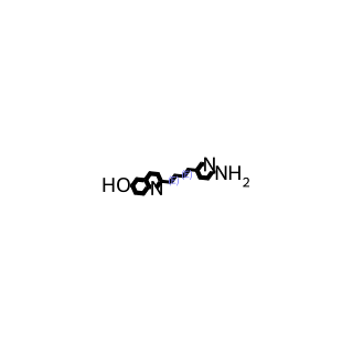 Nc1ccc(/C=C/C=C/c2ccc3cc(O)ccc3n2)cn1